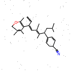 C=C/C(=C\C(C)=C(/C)C(CC(C)C)C1=CCC(C#N)C=C1)C1=C(C)OCC(C)=C1C